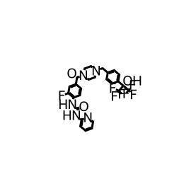 O=C(Nc1ccccn1)Nc1ccc(C(=O)N2CCN(Cc3ccc(C(O)(C(F)(F)F)C(F)(F)F)cc3)CC2)cc1F